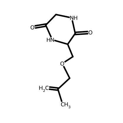 C=C(C)COCC1NC(=O)CNC1=O